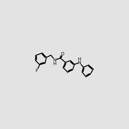 O=C(NCc1cccc(F)c1)c1c[c]cc(Nc2ccccc2)c1